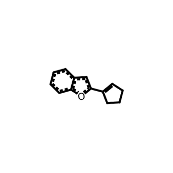 C1=C(c2cc3ccccc3o2)CCC1